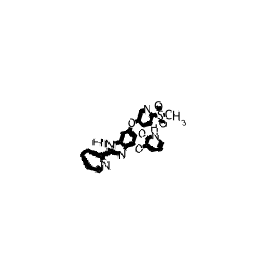 CS(=O)(=O)c1ccc(Oc2cc(Oc3ccc[nH]c3=O)c3nc(-c4ccccn4)[nH]c3c2)cn1